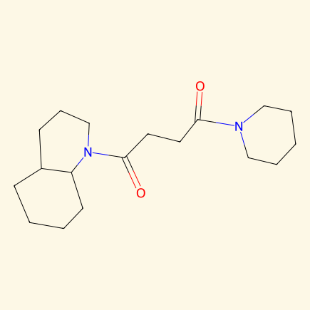 O=C(CCC(=O)N1CCCC2CCCCC21)N1CCCCC1